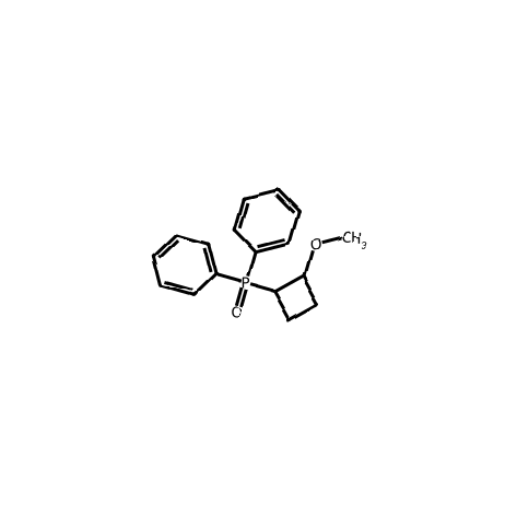 COC1CCC1P(=O)(c1ccccc1)c1ccccc1